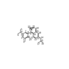 Cc1cc(C(C)C)cc(-c2c3ccc(CC(C)C)cc3cc[n+]2C)c1C